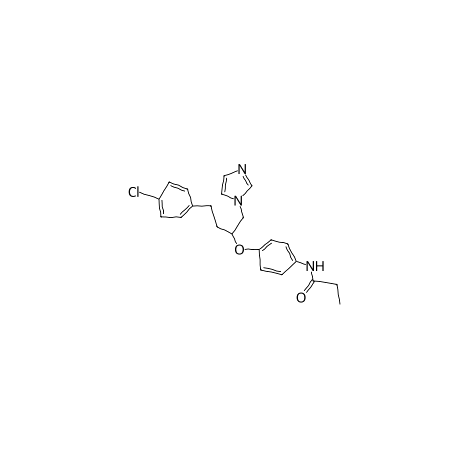 CCC(=O)Nc1ccc(OC(CCc2ccc(Cl)cc2)Cn2ccnc2)cc1